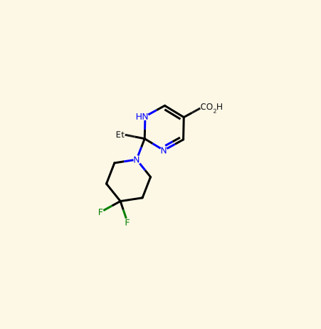 CCC1(N2CCC(F)(F)CC2)N=CC(C(=O)O)=CN1